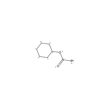 [CH2]C(C)C(=O)OC1CCCCC1